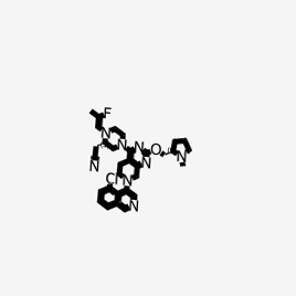 CC(F)=CN1CCN(c2nc(OC[C@@H]3CCCN3C)nc3c2CCN(c2cncc4cccc(Cl)c24)C3)C[C@@H]1CC#N